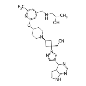 C[C@H](O)CNCc1cc(OC2CCN([C@H]3C[C@](CC#N)(n4cc(C5N=CN=C6NC=CC65)cn4)C3)CC2)nc(C(F)(F)F)c1